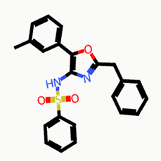 Cc1cccc(-c2oc(Cc3ccccc3)nc2NS(=O)(=O)c2ccccc2)c1